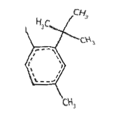 Cc1ccc(I)c(C(C)(C)C)c1